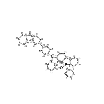 O=P1(c2ccccc2)c2ccccc2-c2ccc3c(c21)c1ccccc1n3-c1ccc(-c2ccc3sc4ccccc4c3c2)cc1